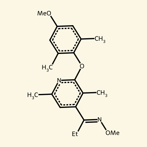 CCC(=NOC)c1cc(C)nc(Oc2c(C)cc(OC)cc2C)c1C